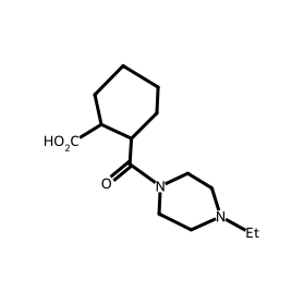 CCN1CCN(C(=O)C2CCCCC2C(=O)O)CC1